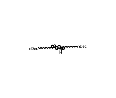 CCCCCCCCCCCCCCCCCCCCc1ccc2[nH]c3c(ccc4c3ccc3c5cc(CCCCCCCCCCCCCCCCCCCC)ccc5sc34)c2c1